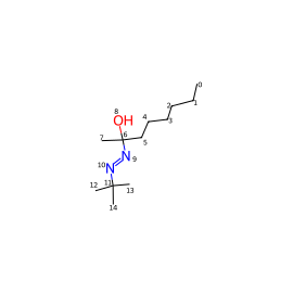 CCCCCCC(C)(O)/N=N/C(C)(C)C